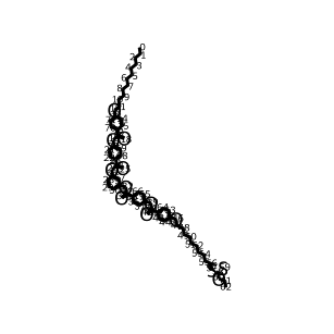 CCCCCCCCCCCCOc1ccc(C(=O)Oc2ccc(C(=O)Oc3cccc(OC(=O)c4ccc(OC(=O)c5ccc(OCCCCCCCCCCSC(=S)OCC)cc5)cc4)c3)cc2)cc1